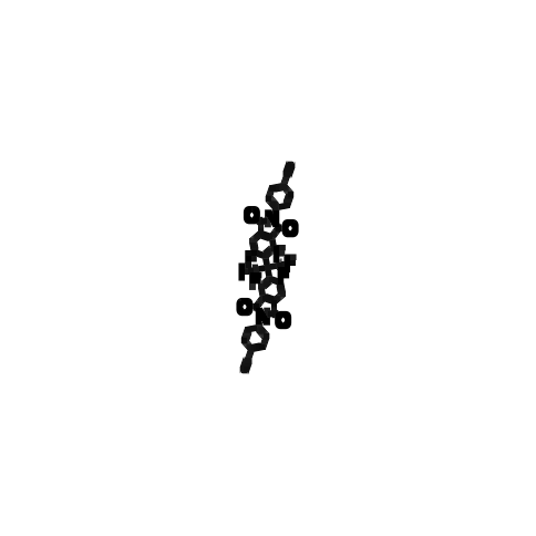 C#Cc1ccc(N2C(=O)c3ccc(C(c4ccc5c(c4)C(=O)N(c4ccc(C#C)cc4)C5=O)(C(F)(F)F)C(F)(F)F)cc3C2=O)cc1